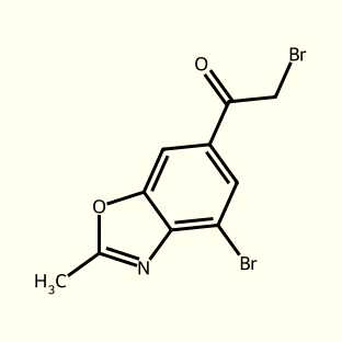 Cc1nc2c(Br)cc(C(=O)CBr)cc2o1